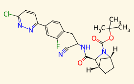 CC(C)(C)OC(=O)N1[C@@H]2CC[C@@H](C2)[C@H]1C(=O)NC(C#N)Cc1ccc(-c2ccc(Cl)nn2)cc1F